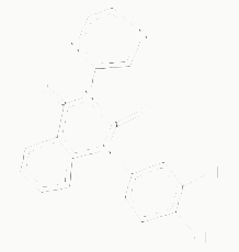 O=c1c2ccccc2n(-c2ccc(Cl)c(Cl)c2)c(=O)n1-c1cnccn1